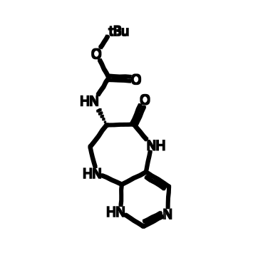 CC(C)(C)OC(=O)N[C@H]1CNC2NC=NC=C2NC1=O